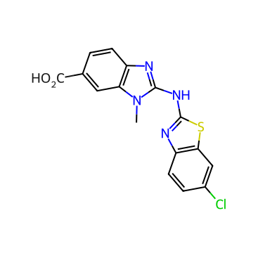 Cn1c(Nc2nc3ccc(Cl)cc3s2)nc2ccc(C(=O)O)cc21